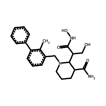 Cc1c(CN2CCCC(C(N)=O)C2C(CO)C(=O)NO)cccc1-c1ccccc1